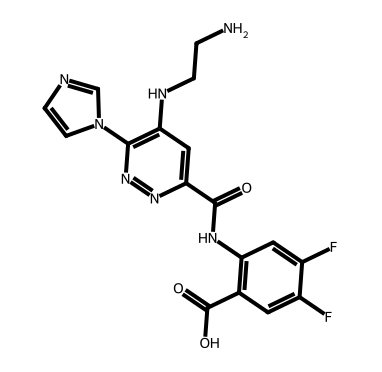 NCCNc1cc(C(=O)Nc2cc(F)c(F)cc2C(=O)O)nnc1-n1ccnc1